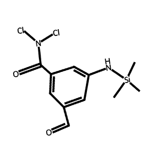 C[Si](C)(C)Nc1cc(C=O)cc(C(=O)N(Cl)Cl)c1